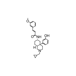 COc1cccc(C=CC(=O)N[C@H]2CC[C@@H]3CN(CC4CC4)CC[C@@]3(c3cccc(O)c3)C2)c1